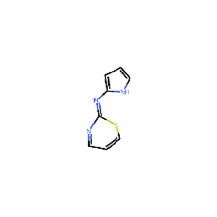 c1cnc(=Nc2ccc[nH]2)sc1